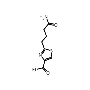 CCC(=O)c1csc(CCCC(N)=O)n1